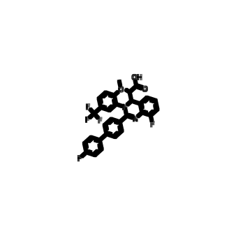 COc1ccc(C(F)(F)F)cc1N1C(c2ccc(-c3ccc(F)cc3)cc2)=Nc2c(F)cccc2C1C(C)C(=O)O